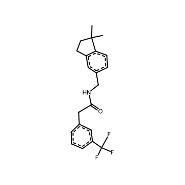 CC1(C)CCc2cc(CNC(=O)Cc3cccc(C(F)(F)F)c3)ccc21